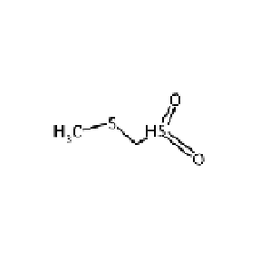 CSC[SH](=O)=O